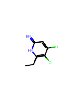 CCc1[nH]c(=N)cc(Cl)c1Cl